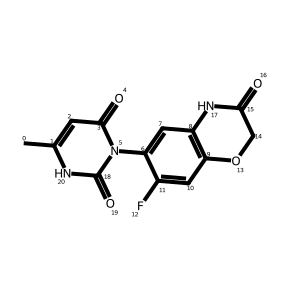 Cc1cc(=O)n(-c2cc3c(cc2F)OCC(=O)N3)c(=O)[nH]1